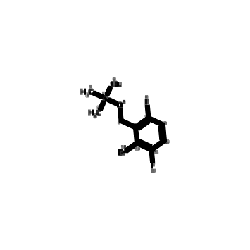 CC(C)(C)[Si](C)(C)OCc1c(F)ccc(F)c1Br